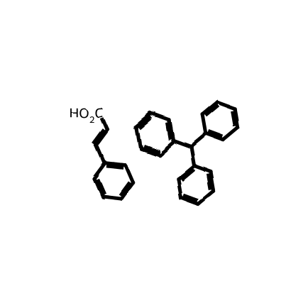 O=C(O)/C=C/c1ccccc1.c1ccc(C(c2ccccc2)c2ccccc2)cc1